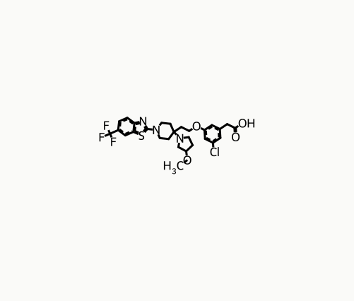 COC1CCN(C2(CCOc3cc(Cl)cc(CC(=O)O)c3)CCN(c3nc4ccc(C(F)(F)F)cc4s3)CC2)C1